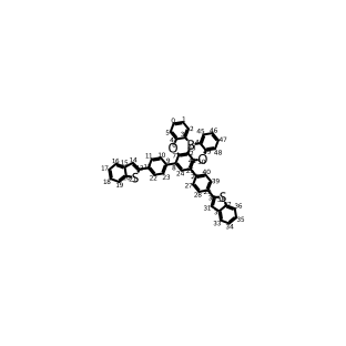 c1ccc2c(c1)Oc1c(-c3ccc(-c4cc5ccccc5s4)cc3)cc(-c3ccc(-c4cc5ccccc5s4)cc3)c3c1B2c1ccccc1O3